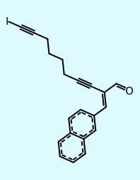 O=C/C(C#CCCCCC#CI)=C/c1ccc2ccccc2c1